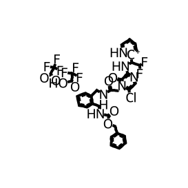 O=C(Cn1c(Cl)cnc(NC([c+]2cccc[nH]2)C(F)F)c1=O)NCc1ccccc1CNC(=O)OCc1ccccc1.O=C(O)C(F)(F)F.O=C([O-])C(F)(F)F